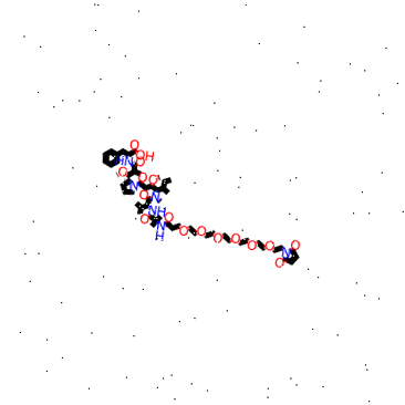 CCC(C)C(C(CC(=O)N1CCC[C@H]1C(OC)C(C)C(=O)NC(Cc1ccccc1)C(=O)O)OC)N(C)C(=O)C(NC(=O)C(C)(C)NC(=O)CCOCCOCCOCCOCCOCCOCCN1C(=O)C=CC1=O)C(C)C